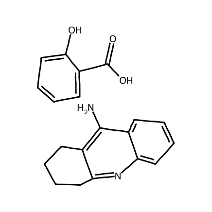 Nc1c2c(nc3ccccc13)CCCC2.O=C(O)c1ccccc1O